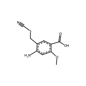 COc1cc(N)c(CSC#N)cc1C(=O)O